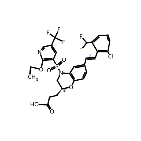 CCOc1ncc(C(F)(F)F)cc1S(=O)(=O)N1C[C@H](CCC(=O)O)Oc2ccc(/C=C/c3c(Cl)cccc3C(F)F)cc21